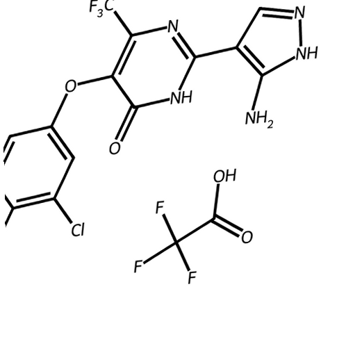 Nc1[nH]ncc1-c1nc(C(F)(F)F)c(Oc2ccc(Cl)c(Cl)c2)c(=O)[nH]1.O=C(O)C(F)(F)F